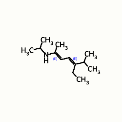 CC/C(=C\C=C(/C)NC(C)C)C(C)C